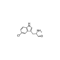 NC(C=O)Cc1c[nH]c2ccc(Cl)cc12